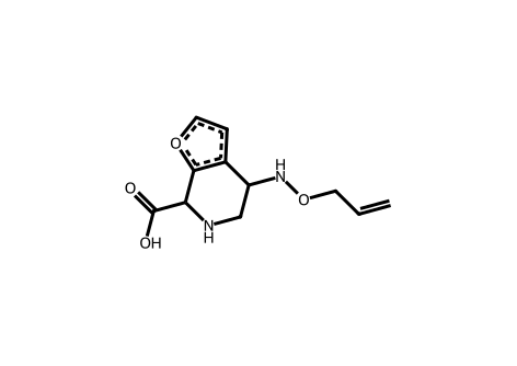 C=CCONC1CNC(C(=O)O)c2occc21